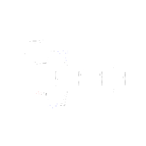 O=c1[nH]c(=O)c2c1c1oc3ccccc3oc1c1[nH]c3cc(F)ccc3c12